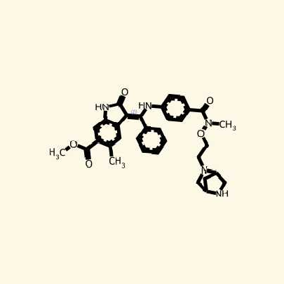 COC(=O)c1cc2c(cc1C)/C(=C(/Nc1ccc(C(=O)N(C)OCCN3CC4CC3CN4)cc1)c1ccccc1)C(=O)N2